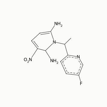 CC(c1ccc(F)cn1)N1C(N)=CC=C([N+](=O)[O-])C1N